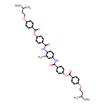 COC(C)CCOc1ccc(C(=O)Oc2ccc(C(=O)Nc3ccc(NC(=O)c4ccc(OC(=O)c5ccc(OCCC(C)OC)cc5)cc4)c(C)c3)cc2)cc1